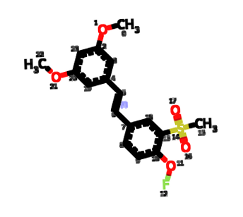 COc1cc(/C=C/c2ccc(OF)c(S(C)(=O)=O)c2)cc(OC)c1